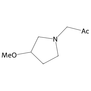 COC1CCN(CC(C)=O)C1